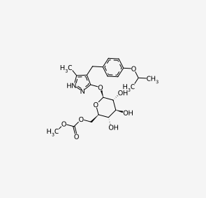 COC(=O)OC[C@H]1O[C@@H](Oc2n[nH]c(C)c2Cc2ccc(OC(C)C)cc2)[C@H](O)[C@@H](O)[C@@H]1O